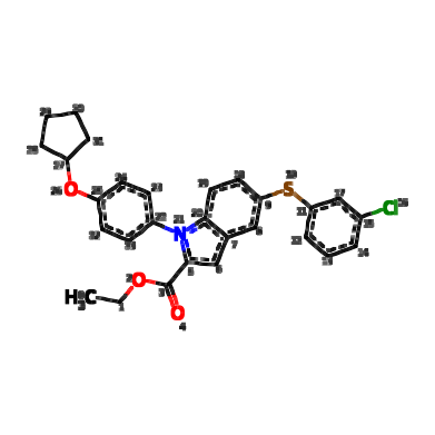 CCOC(=O)c1cc2cc(Sc3cccc(Cl)c3)ccc2n1-c1ccc(OC2CCCC2)cc1